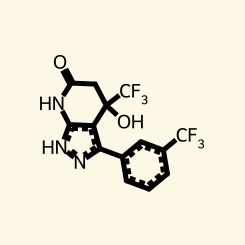 O=C1CC(O)(C(F)(F)F)c2c(-c3cccc(C(F)(F)F)c3)n[nH]c2N1